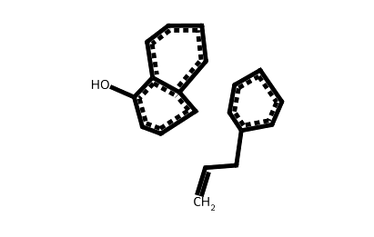 C=CCc1ccccc1.Oc1cccc2ccccc12